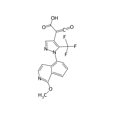 COc1nccc2c(-n3ncc(C(=C=O)C(=O)O)c3C(F)(F)F)cccc12